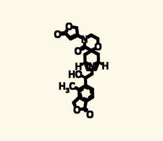 Cc1c([C@@H](O)CN2[C@@H]3CC[C@H]2CC2(C3)OCCN(C3=CC(=O)OC3)C2=O)ccc2c1COC2=O